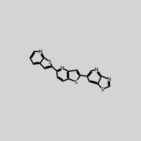 c1cnc2sc(-c3ccc4sc(-c5cnc6ncsc6c5)cc4n3)cc2c1